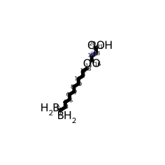 BC(B)CCCCCCCCCCCOC(=O)/C=C/C(=O)O